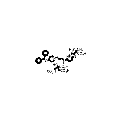 CC(C)(C(=O)O)c1cn2nc(NCCCN3CCC(OC(c4ccccc4)c4ccccc4)CC3)ccc2n1.O=C(O)CC(O)(CC(=O)O)C(=O)O